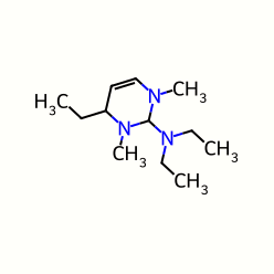 CCC1C=CN(C)C(N(CC)CC)N1C